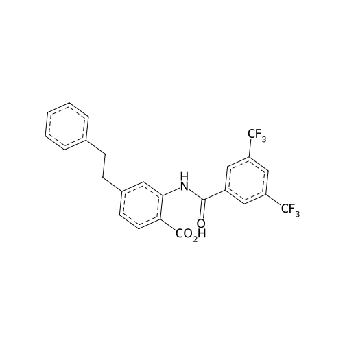 O=C(Nc1cc(CCc2ccccc2)ccc1C(=O)O)c1cc(C(F)(F)F)cc(C(F)(F)F)c1